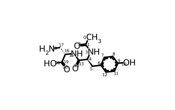 CC(=O)N[C@@H](Cc1ccc(O)cc1)C(=O)N[C@@H](CN)C(=O)O